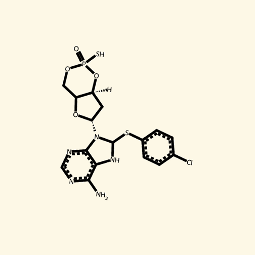 Nc1ncnc2c1NC(Sc1ccc(Cl)cc1)N2[C@H]1C[C@@H]2OP(=O)(S)OCC2O1